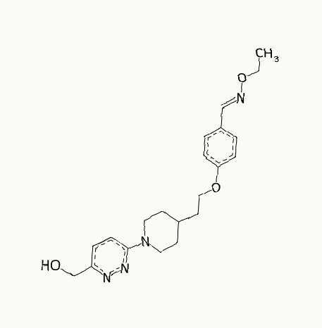 CCON=Cc1ccc(OCCC2CCN(c3ccc(CO)nn3)CC2)cc1